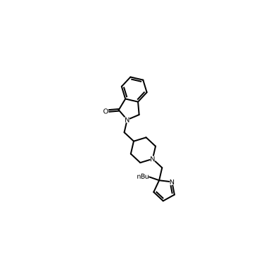 CCCCC1(CN2CCC(CN3Cc4ccccc4C3=O)CC2)C=CC=N1